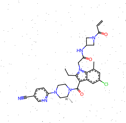 C=CC(=O)N1CC(NC(=O)Cn2c(CC)c(C(=O)N3CCN(c4ccc(C#N)cn4)C[C@H]3C)c3cc(Cl)cc(C)c32)C1